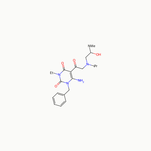 CCn1c(=O)c(C(=O)CN(CC(O)NC)C(C)C)c(N)n(Cc2ccccc2)c1=O